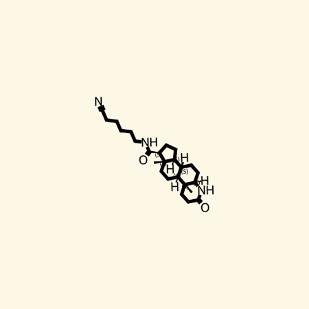 C[C@]12CCC(=O)N[C@@H]1CC[C@@H]1[C@@H]2CC[C@]2(C)[C@@H](C(=O)NCCCCCC#N)CC[C@@H]12